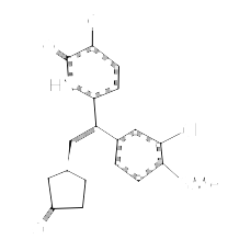 CSc1ccc(/C(=C\[C@H]2CCC(=O)C2)c2ccc(C)c(=O)[nH]2)cc1Cl